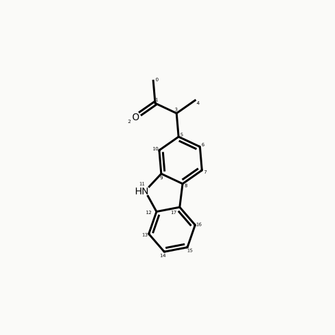 CC(=O)C(C)c1ccc2c(c1)[nH]c1ccccc12